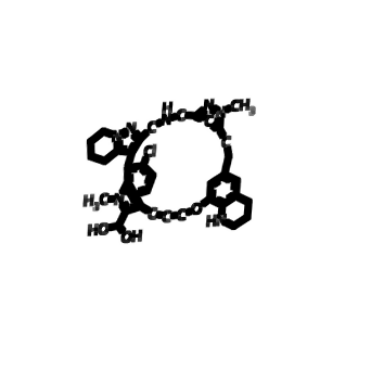 Cn1nc2cc1CCc1cc3c(c(c1)OCCCc1c(C(O)O)n(C)c4c(c(Cl)ccc14)-c1c(nn4c1CCCC4)CNC2)NCCC3